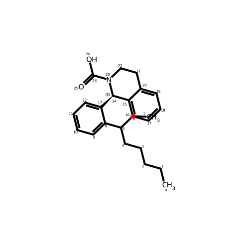 CCCCCC(CC)c1ccccc1[C@@H]1c2ccccc2CCN1C(=O)O